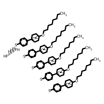 CCCCCCCCOC12CCC(c3ccc([S])cc3)(CC1)CC2.CCCCCCCCOC12CCC(c3ccc([S])cc3)(CC1)CC2.CCCCCCCCOC12CCC(c3ccc([S])cc3)(CC1)CC2.CCCCCCCCOC12CCC(c3ccc([S])cc3)(CC1)CC2.CCCCCCCCOC12CCC(c3ccc([S])cc3)(CC1)CC2.F.F.F.F.F